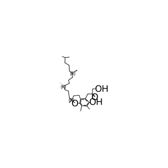 Cc1c(C)c2c(c(CC(=O)CO)c1O)CC[C@@](C)(CCC[C@H](C)CCC[C@H](C)CCCC(C)C)O2